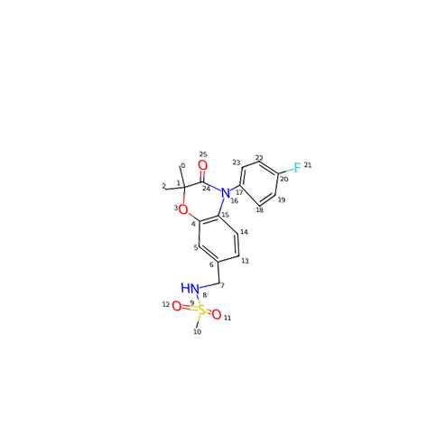 CC1(C)Oc2cc(CNS(C)(=O)=O)ccc2N(c2ccc(F)cc2)C1=O